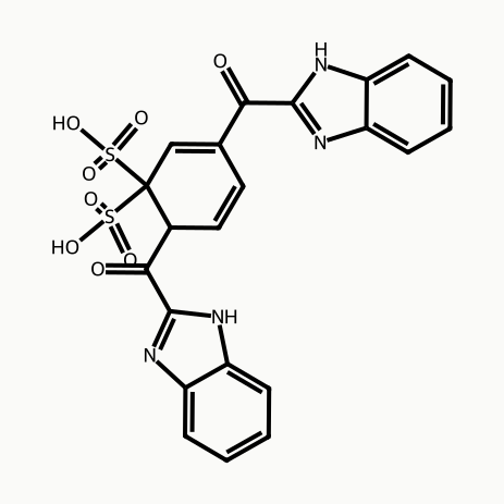 O=C(C1=CC(S(=O)(=O)O)(S(=O)(=O)O)C(C(=O)c2nc3ccccc3[nH]2)C=C1)c1nc2ccccc2[nH]1